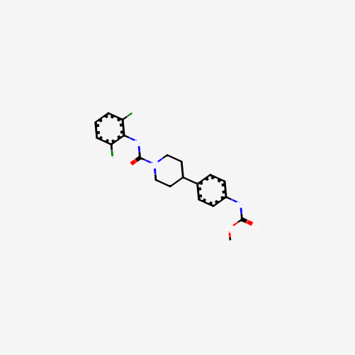 CC(C)(C)OC(=O)Nc1ccc(C2CCN(C(=O)Nc3c(Cl)cccc3Cl)CC2)cc1